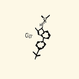 CC1=Cc2c(-c3ccc(C(C)(C)C)cc3)cccc2[CH]1[Hf+2][Si](C)C.[Cl-].[Cl-]